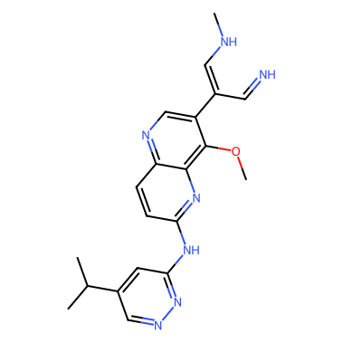 CN/C=C(\C=N)c1cnc2ccc(Nc3cc(C(C)C)cnn3)nc2c1OC